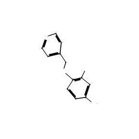 CC(C)(C)c1ccc(OCc2ccncc2)c(Cl)c1